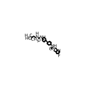 CC(C)(O)CCNC(=O)NC12CCC(c3ccc(NC(=O)N4Cc5cc(F)cnc5C4)cc3)(CC1)CC2